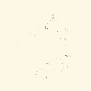 Cc1c(CN(C)C(=O)C=Cc2cnc3c(c2)CN(c2ccccc2)CC(=O)N3)oc2ccccc12.Cl